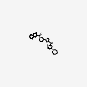 O=C(c1ccc2ccccc2c1)N1CCCC(N2CCC(Nc3nccc(N4CCCCCC4)n3)C2)C1